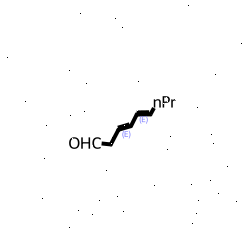 CCC/C=C/C=C/CC=O